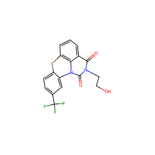 O=c1c2cccc3c2n(c(=O)n1CCO)-c1cc(C(F)(F)F)ccc1S3